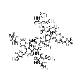 CSc1cc(C)[nH]c(=O)c1CNC(=O)c1c(C)n([C@H](C)C2CCC(NC3CC(F)(F)C3)CC2)c2ccc(N(C)C3CCOC(c4c(C(=O)NCc5c(SC)cc(C)[nH]c5=O)c5ccc(N6CCC(O)C6)cc5n4[C@H](C)C4CCC(NC5CC(F)(F)C5)CC4)C3)cc12